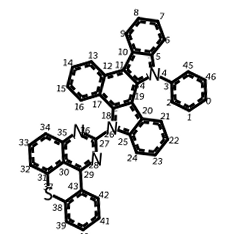 c1ccc(-n2c3ccccc3c3c4ccccc4c4c(c5ccccc5n4-c4nc5c6c(cccc6n4)Sc4ccccc4-5)c32)cc1